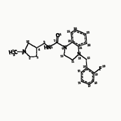 CN1CCC(CNC(=O)N2CCN(Cc3ccccc3F)c3ccccc32)C1